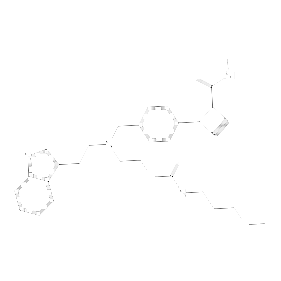 COCCCNC(=O)OCCN(CCc1c[nH]c2ccccc12)Cc1ccc(C2C#CC2C(=O)NO)cc1